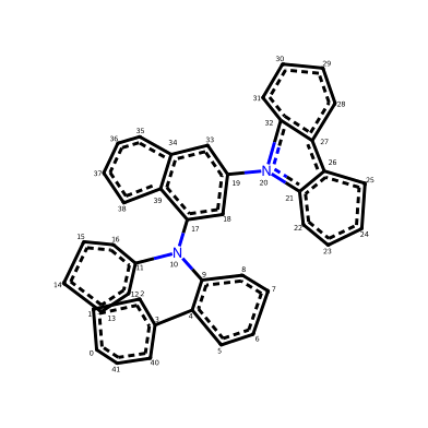 c1ccc(-c2ccccc2N(c2ccccc2)c2cc(-n3c4ccccc4c4ccccc43)cc3ccccc23)cc1